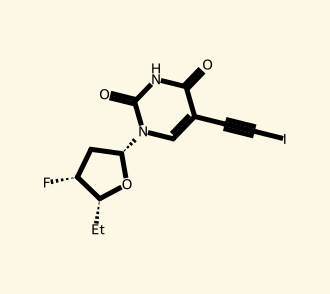 CC[C@H]1O[C@@H](n2cc(C#CI)c(=O)[nH]c2=O)C[C@H]1F